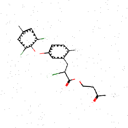 COC(=O)CCOC(=O)C(Cl)Cc1cc(Oc2c(Cl)cc(C(F)(F)F)cc2Cl)ccc1[N+](=O)[O-]